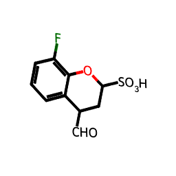 O=CC1CC(S(=O)(=O)O)Oc2c(F)cccc21